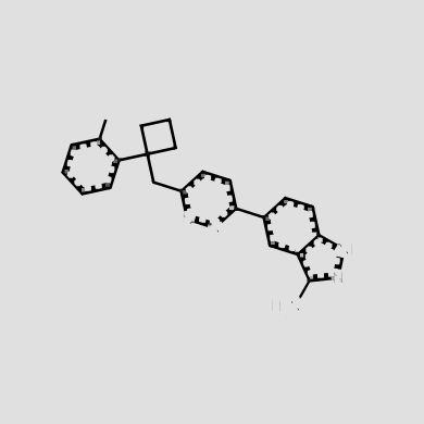 Nc1n[nH]c2ccc(-c3ccc([CH]C4(c5ccccc5F)CCC4)nn3)cc12